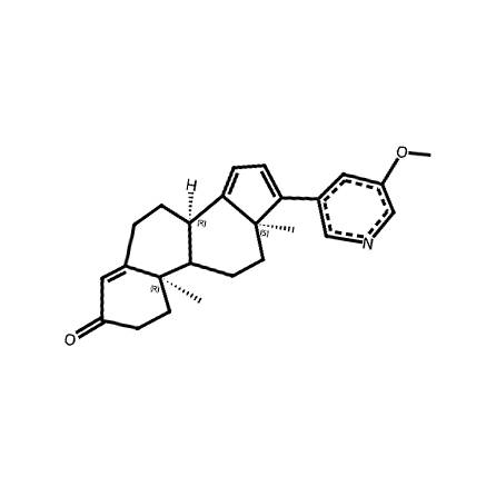 COc1cncc(C2=CC=C3[C@@H]4CCC5=CC(=O)CC[C@]5(C)C4CC[C@]23C)c1